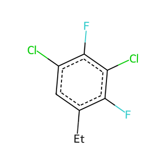 CCc1cc(Cl)c(F)c(Cl)c1F